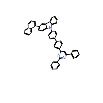 c1ccc(-c2cc(-c3ccc(-c4ccc(-n5c6ccccc6c6cc(-c7cccc8ccccc78)ccc65)cc4)cc3)nc(-c3ccccc3)n2)cc1